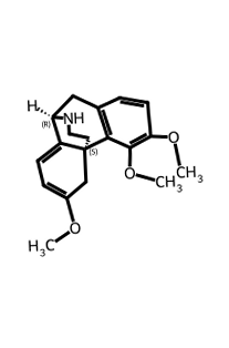 COC1=CC=C2[C@H]3Cc4ccc(OC)c(OC)c4[C@@]2(CCN3)C1